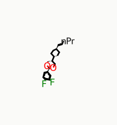 CCCC=C[C@H]1CC[C@H]([C@H]2CO[C@H](c3ccc(F)c(F)c3)OC2)CC1